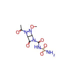 CON1C2C(C(=O)N2C(=O)NS(N)(=O)=O)N1C(C)=O